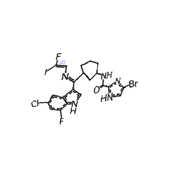 O=C(NC1CCCC(C(=N/C=C(/F)I)c2c[nH]c3c(F)cc(Cl)cc23)C1)c1nc(Br)c[nH]1